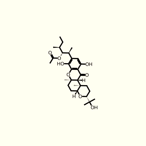 CC[C@H](C)[C@@H](OC(C)=O)[C@@H](C)c1cc(O)c2c(c1O)O[C@]1(C)CC[C@H]3O[C@@H](C(C)(C)O)CC[C@]3(C)[C@H]1C2=O